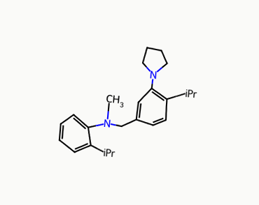 CC(C)c1ccccc1N(C)Cc1ccc(C(C)C)c(N2CCCC2)c1